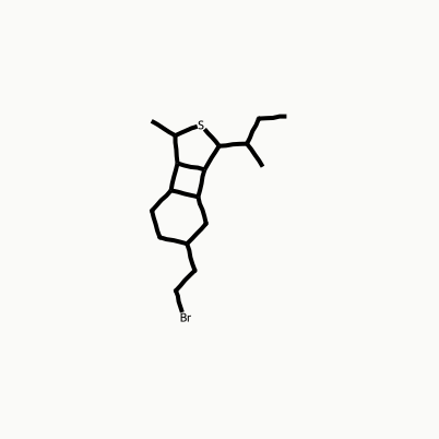 CCC(C)C1SC(C)C2C3CCC(CCBr)CC3C12